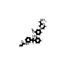 C=CC(=O)Nc1cccc(C(C)(C)c2ccccc2Nc2ccc(N3CCOC(CN)C3)cc2OC)c1